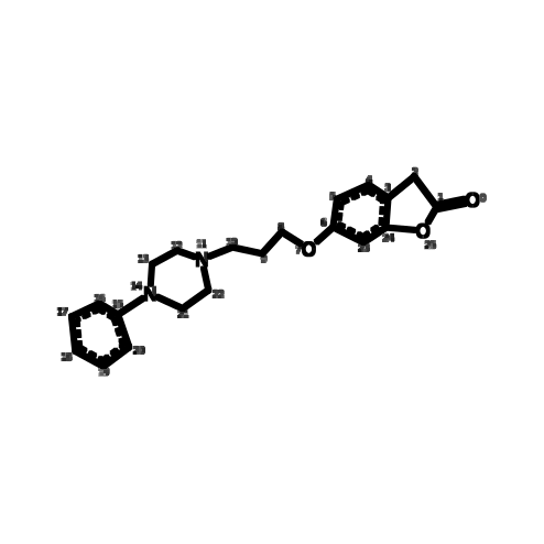 O=C1Cc2ccc(OCCCN3CCN(c4ccccc4)CC3)cc2O1